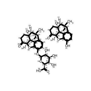 CN1CC[C@]23c4c5ccc(O)c4O[C@H]2C(=O)CC[C@@]3(O)[C@H]1C5.CN1CC[C@]23c4c5ccc(OC6O[C@H](C(=O)O)[C@@H](O)[C@H](O)[C@H]6O)c4O[C@H]2C(=O)CC[C@@]3(O)[C@H]1C5